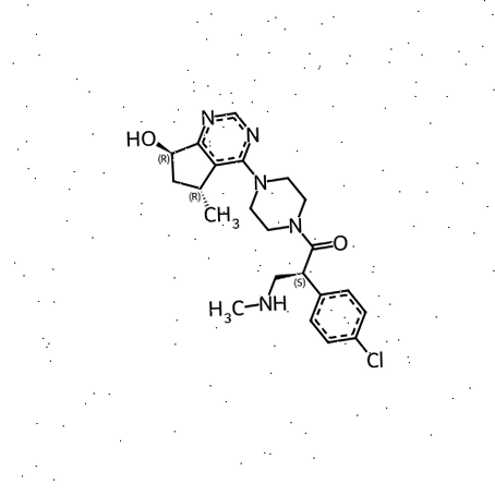 CNC[C@@H](C(=O)N1CCN(c2ncnc3c2[C@H](C)C[C@H]3O)CC1)c1ccc(Cl)cc1